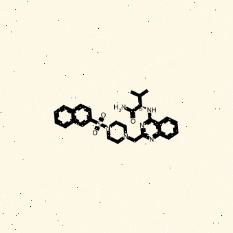 CC(C)[C@H](Nc1nc(CN2CCN(S(=O)(=O)c3ccc4ccccc4c3)CC2)nc2ccccc12)C(N)=O